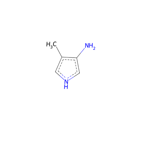 Cc1c[nH]cc1N